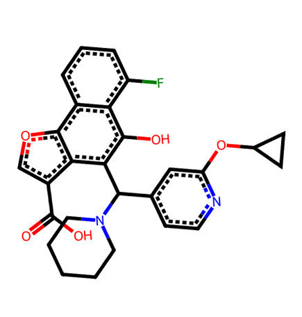 O=C(O)c1coc2c1c(C(c1ccnc(OC3CC3)c1)N1CCCCC1)c(O)c1c(F)cccc12